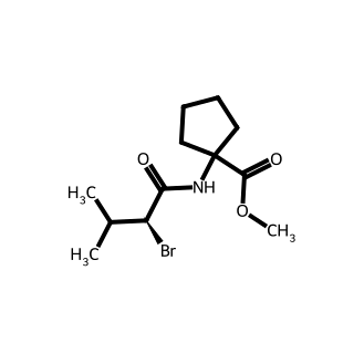 COC(=O)C1(NC(=O)[C@@H](Br)C(C)C)CCCC1